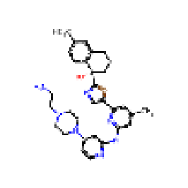 Cc1cc(Nc2cc(N3CCN(CCN)CC3)ccn2)nc(-c2cnc([C@]3(O)CCCc4cc(C(=O)O)ccc43)s2)c1